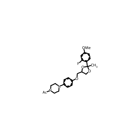 COc1ccc(C2(C)OCC(COc3ccc(N4CCN(C(C)=O)CC4)cc3)O2)c(F)c1